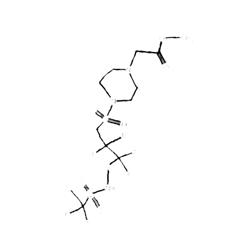 COC(=O)CN1CCN(S(=O)(=O)CC(F)(F)C(F)(F)SNS(=O)(=O)C(F)(F)F)CC1